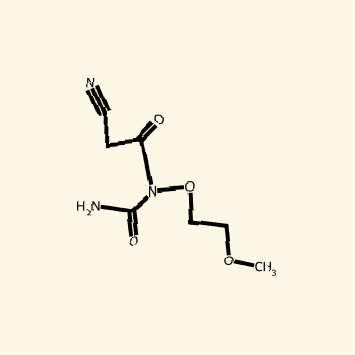 COCCON(C(N)=O)C(=O)CC#N